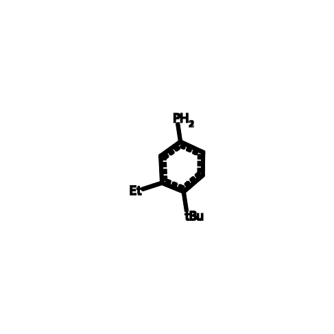 CCc1cc(P)ccc1C(C)(C)C